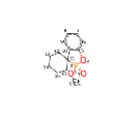 CCOP1(=O)Oc2ccccc2C12CCCCC2